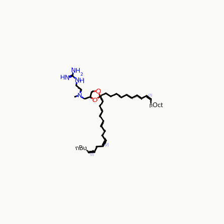 CCCC/C=C\C/C=C\CCCCCCCCC1(CCCCCCCC/C=C\CCCCCCCC)OCC(CN(C)CCNC(=N)N)O1